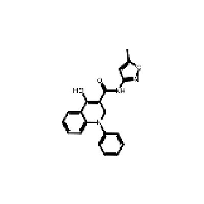 Cc1cc(NC(=O)C2=C(O)c3ccccc3N(c3ccccc3)C2)no1